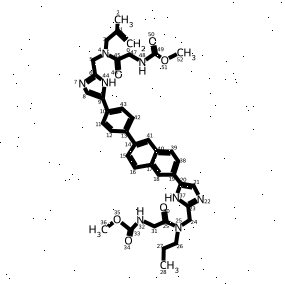 C=C(C)CN(Cc1ncc(-c2ccc(-c3ccc4cc(-c5cnc(CN(CCC)C(=O)CNC(=O)OC)[nH]5)ccc4c3)cc2)[nH]1)C(=O)CNC(=O)OC